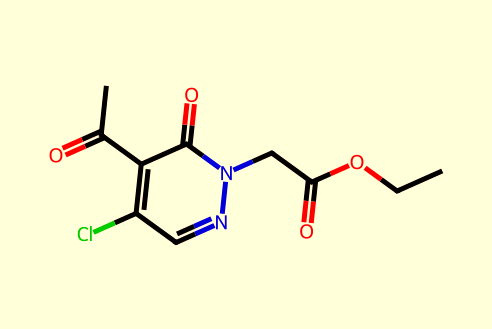 CCOC(=O)Cn1ncc(Cl)c(C(C)=O)c1=O